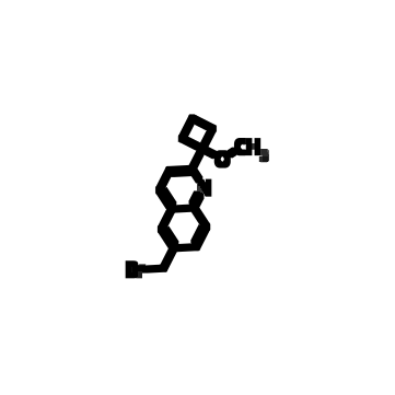 COC1(c2ccc3cc(CBr)ccc3n2)CCC1